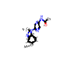 CCC(=O)Nc1cnc(-n2c(C(F)(F)F)nc3cc(OC)ccc32)cn1